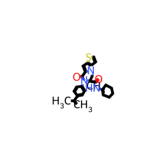 CC(C)c1ccc(N2C(=O)c3cc4sccc4n3CC2(C)C(=O)NC2CCCCC2)cc1